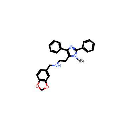 CCCCn1c(-c2ccccc2)nc(-c2ccccc2)c1CCNCc1ccc2c(c1)OCO2